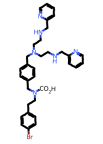 O=C(O)N(CCc1ccc(Br)cc1)Cc1ccc(CN(CCNCc2ccccn2)CCNCc2ccccn2)cc1